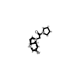 O=C(Cn1ccc2ncc(Br)cc21)N1CCCC1